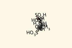 Cc1cc(S(=O)(=O)Nc2cc(O)cc3cc(S(=O)(=O)O)ccc23)ccc1NC(=O)Nc1ccc(S(=O)(=O)Nc2cc(O)cc3cc(S(=O)(=O)O)ccc23)cc1C